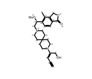 C#C/C=C(\CO)N1CCC2(CCN(C[C@@H](OC)c3ccc4c(c3C)COC4=O)CC2)CC1